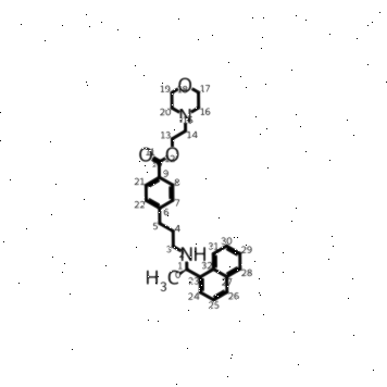 C[C@@H](NCCCc1ccc(C(=O)OCCN2CCOCC2)cc1)c1cccc2ccccc12